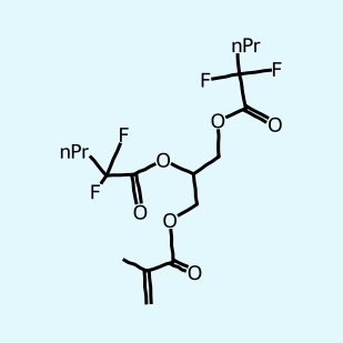 C=C(C)C(=O)OCC(COC(=O)C(F)(F)CCC)OC(=O)C(F)(F)CCC